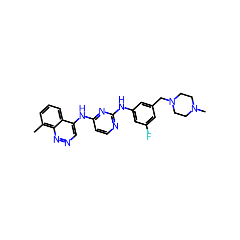 Cc1cccc2c(Nc3ccnc(Nc4cc(F)cc(CN5CCN(C)CC5)c4)n3)cnnc12